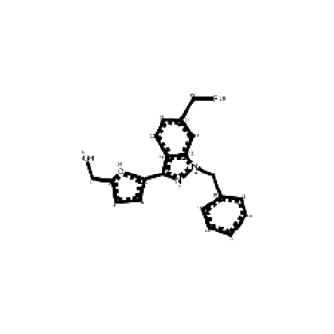 OCc1ccc(-c2nn(Cc3ccccc3)c3cc(CF)ccc23)o1